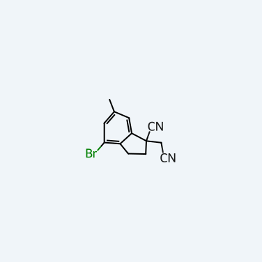 Cc1cc(Br)c2c(c1)C(C#N)(CC#N)CC2